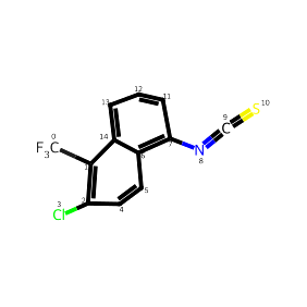 FC(F)(F)c1c(Cl)ccc2c(N=C=S)cccc12